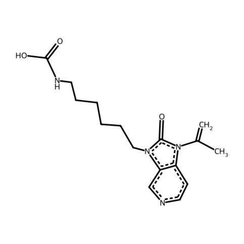 C=C(C)n1c(=O)n(CCCCCCNC(=O)O)c2cnccc21